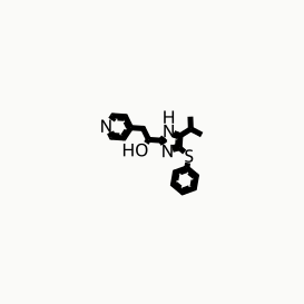 CC(C)c1[nH]c(C(O)Cc2ccncc2)nc1Sc1ccccc1